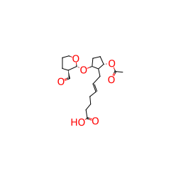 CC(=O)O[C@H]1CCC(O[C@H]2OCCC[C@@H]2C=O)C1C/C=C/CCCC(=O)O